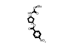 CC(C)(C)OC(=O)N[C@H]1CC[C@H](OC(=O)c2ccc([N+](=O)[O-])cc2)C1